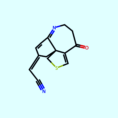 N#C/C=C1/C=CC2=NCCC(=O)C3=CSCC32C1